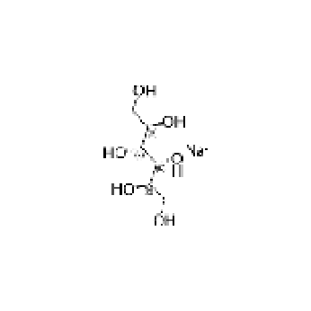 OC[C@@H](O)[C@@H](O)[C@H](O)[C@H](O)CO.[Na]